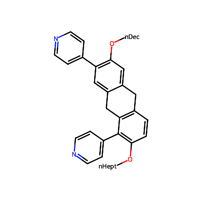 CCCCCCCCCCOc1cc2c(cc1-c1ccncc1)Cc1c(ccc(OCCCCCCC)c1-c1ccncc1)C2